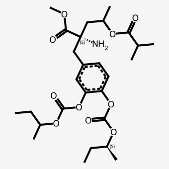 CCC(C)OC(=O)Oc1cc(C[C@](N)(CC(C)OC(=O)C(C)C)C(=O)OC)ccc1OC(=O)O[C@@H](C)CC